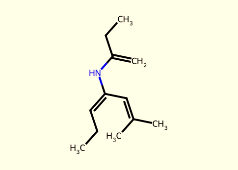 C=C(CC)N/C(C=C(C)C)=C/CC